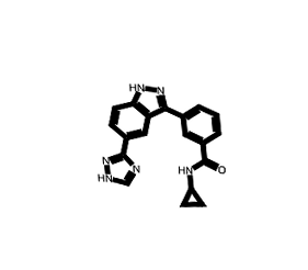 O=C(NC1CC1)c1cccc(-c2n[nH]c3ccc(-c4nc[nH]n4)cc23)c1